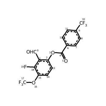 O=Cc1c(OC(=O)c2ccc(C(F)(F)F)cc2)ccc(OC(F)(F)F)c1F